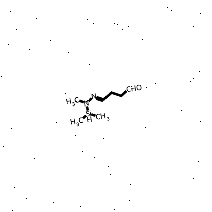 CN(N=CCCC=O)[SiH](C)C